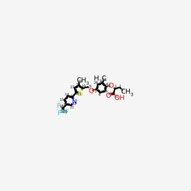 CCC(Oc1ccc(OCc2sc(-c3ccc(C(F)(F)F)cn3)cc2C)cc1C)C(=O)O